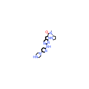 CN(C)C(=O)c1cc2cnc(Nc3ccc(N4CCNCC4)cn3)nc2n1N1CCCC1